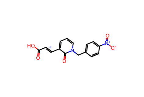 O=C(O)/C=C/c1cccn(Cc2ccc([N+](=O)[O-])cc2)c1=O